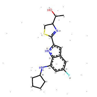 CC(O)C1CSC(c2cc3cc(F)cc(NC4CCCC4)c3[nH]2)=N1